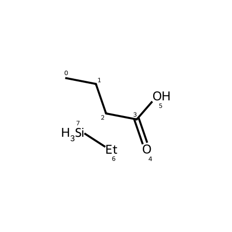 CCCC(=O)O.CC[SiH3]